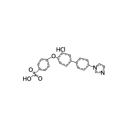 Cl.O=S(=O)(O)c1ccc(Oc2ccc(-c3ccc(-n4ccnc4)cc3)cc2)cc1